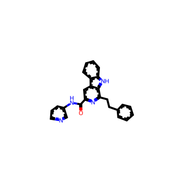 O=C(Nc1cccnc1)c1cc2c([nH]c3ccccc32)c(CCc2ccccc2)n1